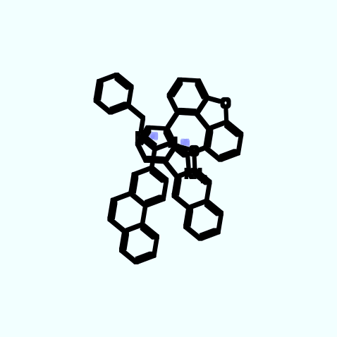 N/C(=N\C(=N/Cc1ccccc1)c1ccc2c(ccc3ccccc32)c1)c1cccc2oc3cccc(-c4cccc5c4oc4cc6ccccc6cc45)c3c12